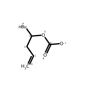 C=CCC(CCCC)OC([O])=O